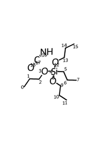 CCCO[Si](CCC)(OCCC)OCCC.N=C=O